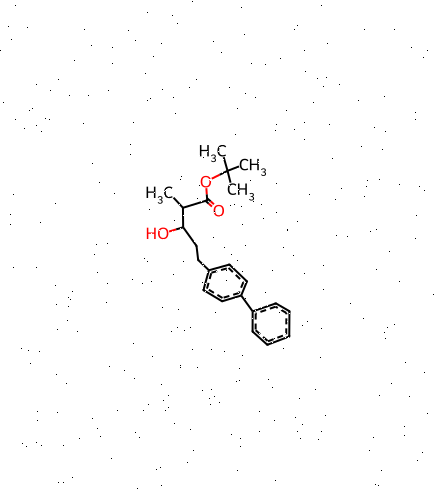 CC(C(=O)OC(C)(C)C)C(O)CCc1ccc(-c2ccccc2)cc1